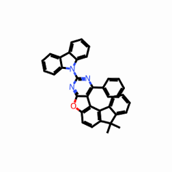 CC1(C)c2ccccc2-c2c1ccc1oc3nc(-n4c5ccccc5c5ccccc54)nc(-c4ccccc4)c3c21